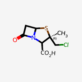 C[C@@]1(CCl)SC2CC(=O)N2C1C(=O)O